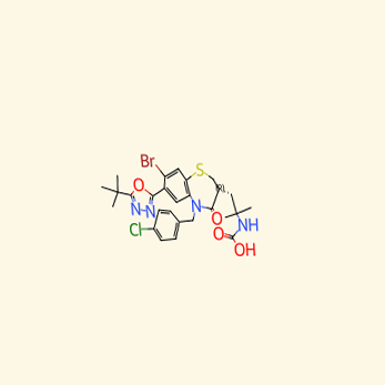 CC(C)(C[C@H]1CSc2cc(Br)c(-c3nnc(C(C)(C)C)o3)cc2N(Cc2ccc(Cl)cc2)C1=O)NC(=O)O